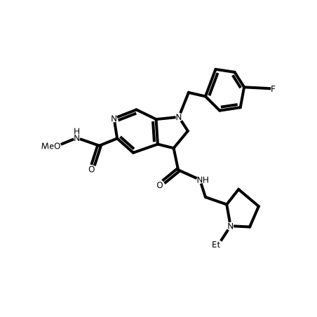 CCN1CCCC1CNC(=O)C1CN(Cc2ccc(F)cc2)c2cnc(C(=O)NOC)cc21